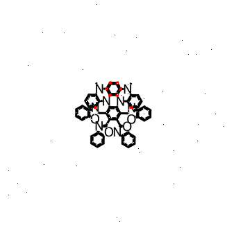 CN1c2ccccc2N(c2c(-c3nc4ccccc4o3)c(-c3nc4ccccc4o3)c(-c3nc4ccccc4o3)c(-c3nc4ccccc4o3)c2N2c3ccccc3N(C)c3ccccc32)c2ccccc21